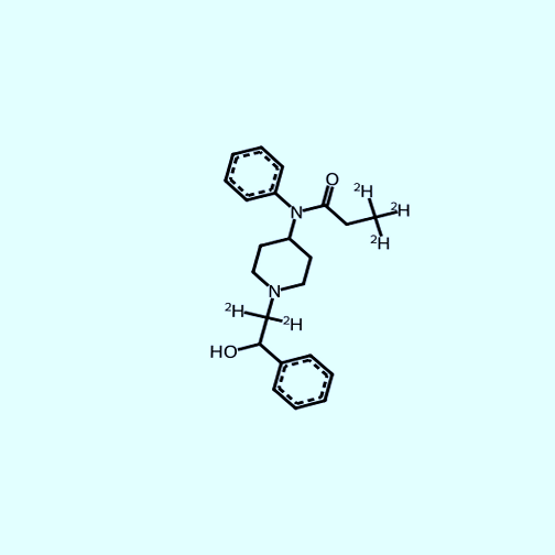 [2H]C([2H])([2H])CC(=O)N(c1ccccc1)C1CCN(C([2H])([2H])C(O)c2ccccc2)CC1